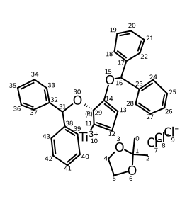 CC1(C)OCCO1.[Cl-].[Cl-].[Cl-].[Ti+3][C]1=CC=C(OC(c2ccccc2)c2ccccc2)[C@H]1OC(c1ccccc1)c1ccccc1